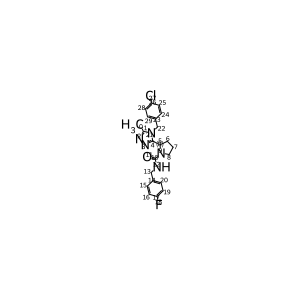 Cc1nnc([C@H]2CCCN2C(=O)NCc2ccc(F)cc2)n1Cc1ccc(Cl)cc1